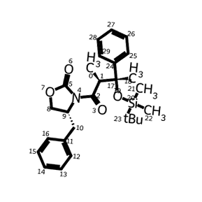 C[C@H](C(=O)N1C(=O)OC[C@H]1Cc1ccccc1)[C@@](C)(O[Si](C)(C)C(C)(C)C)c1ccccc1